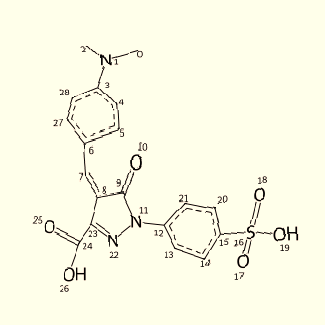 CN(C)c1ccc(C=C2C(=O)N(c3ccc(S(=O)(=O)O)cc3)N=C2C(=O)O)cc1